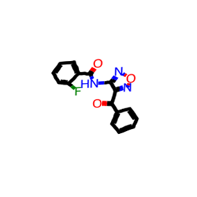 O=C(Nc1nonc1C(=O)c1ccccc1)c1ccccc1F